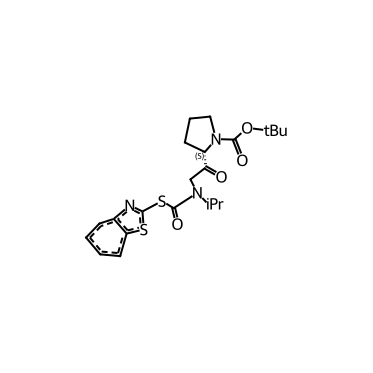 CC(C)N(CC(=O)[C@@H]1CCCN1C(=O)OC(C)(C)C)C(=O)Sc1nc2ccccc2s1